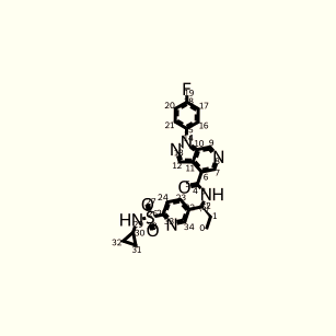 CC[C@H](NC(=O)c1cncc2c1cnn2-c1ccc(F)cc1)c1ccc(S(=O)(=O)NC2CC2)nc1